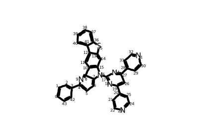 c1ccc(-c2ccc3c(n2)c2cc4c(cc2n3-c2nc(-c3ccncc3)cc(-c3ccncc3)n2)sc2ccccc24)cc1